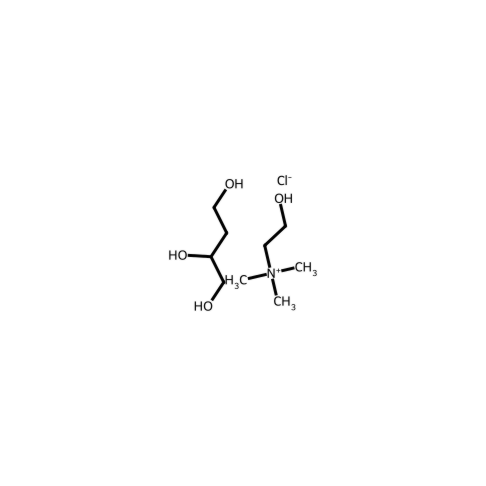 C[N+](C)(C)CCO.OCCC(O)CO.[Cl-]